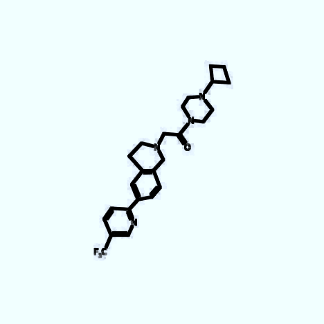 O=C(CN1CCc2cc(-c3ccc(C(F)(F)F)cn3)ccc2C1)N1CCN(C2CCC2)CC1